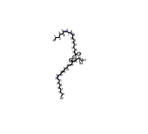 CCCCC/C=C\C/C=C\CCCCCCCC(=O)OC(CC(=O)CCCCCCC/C=C\CCCCCCCC)CN(C)C